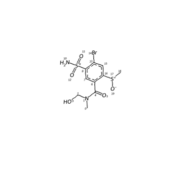 CN(CO)C(=O)c1cc(S(N)(=O)=O)c(Br)cc1[S+](C)[O-]